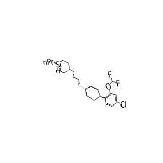 CCC[SiH]1CCC(CCCC[C@H]2CC[C@H](c3ccc(Cl)cc3OC(F)F)CC2)CC1